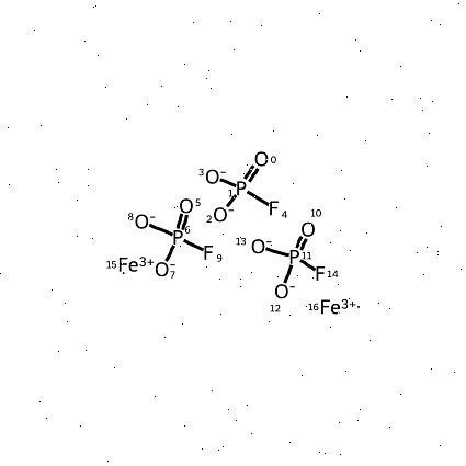 O=P([O-])([O-])F.O=P([O-])([O-])F.O=P([O-])([O-])F.[Fe+3].[Fe+3]